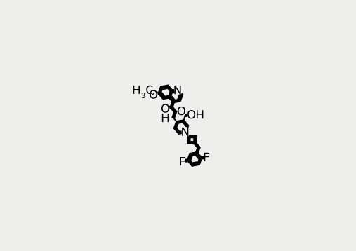 COc1ccc2nccc(C(O)CC[C@@H]3CCN(C4CC(Cc5cc(F)ccc5F)C4)C[C@@H]3C(=O)O)c2c1